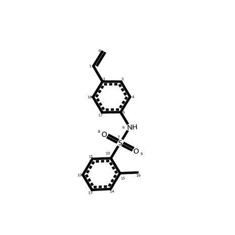 C=Cc1ccc(NS(=O)(=O)c2ccccc2C)cc1